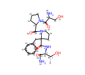 C[C@@H](O)[C@H](NC(=O)C1(Cc2ccccc2)CCCN1C(=O)C1CCCN1C(=O)C(N)CO)C(N)=O